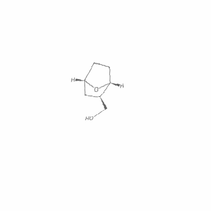 OC[C@H]1C[C@@H]2CC[C@H]1O2